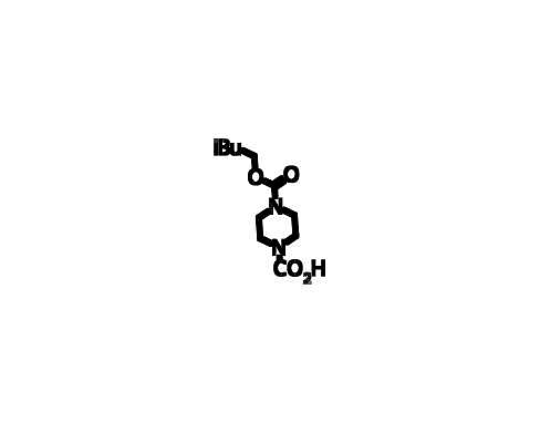 CCC(C)COC(=O)N1CCN(C(=O)O)CC1